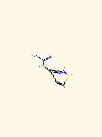 N=C(N)Nc1ccsn1